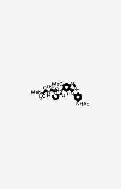 CN[C@@H](C)C(=O)N[C@H](C(=O)N1CCC[C@H]1C(=O)Nc1cc2c(Nc3cc(NC(C)=O)ccc3Cl)ncnc2cc1OC)C(C)(C)C